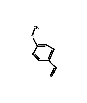 [CH]=Cc1ccc(OC(F)(F)F)cc1